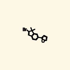 CC1(C)C(Br)=Cc2ccc(-c3ccco3)cc21